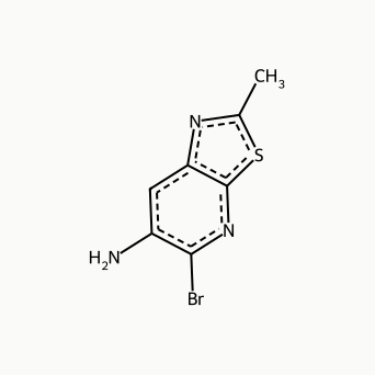 Cc1nc2cc(N)c(Br)nc2s1